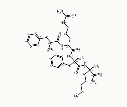 B[C@@](CCCCN)(NC(=O)[C@](B)(Cc1ccccc1)NC(=O)[C@@H](CCCNC(=N)N)NC(=O)[C@@H](N)Cc1ccccc1)C(N)=O